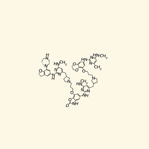 CNc1cc(C)nc(Nc2cc(OCCCN3CCC(Cc4cc(NC)nc(Nc5cc(OCCCN6CCC(Cc7cc(NC)nc(Nc8cc9c(c(N%10CCCNCC%10)c8)OCC9)n7)C6)c6oc(=O)[nH]c6c5)n4)C3)c3c(c2)OCCO3)n1